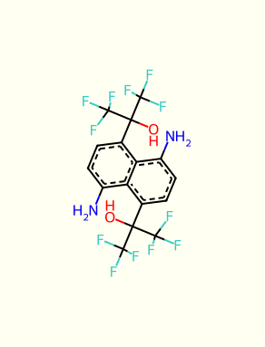 Nc1ccc(C(O)(C(F)(F)F)C(F)(F)F)c2c(N)ccc(C(O)(C(F)(F)F)C(F)(F)F)c12